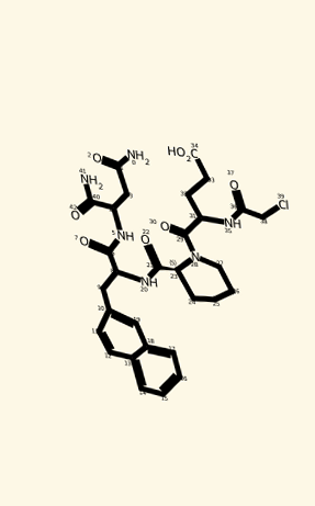 NC(=O)CC(NC(=O)C(Cc1ccc2ccccc2c1)NC(=O)[C@@H]1CCCCN1C(=O)C(CCC(=O)O)NC(=O)CCl)C(N)=O